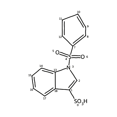 O=S(=O)(O)c1cn(S(=O)(=O)c2ccccc2)c2ccccc12